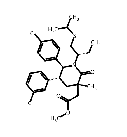 CC[C@@H](CSC(C)C)N1C(=O)[C@](C)(CC(=O)OC)C[C@H](c2cccc(Cl)c2)[C@H]1c1ccc(Cl)cc1